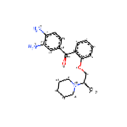 CC(COc1ccccc1C(=O)c1ccc(N)c(N)c1)N1CCCCC1